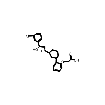 O=C(O)COc1ccccc1C1CCCC(NC[C@H](O)c2cccc(Cl)c2)C1